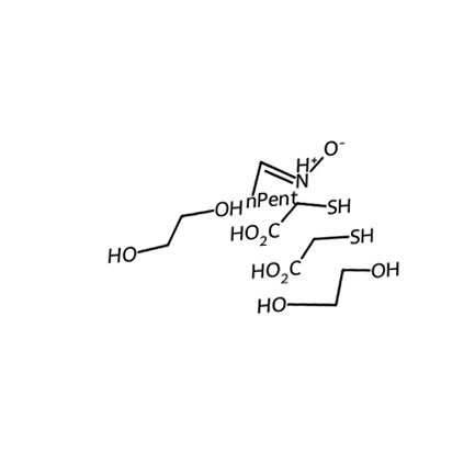 CCCCCC=[NH+][O-].O=C(O)CS.O=C(O)CS.OCCO.OCCO